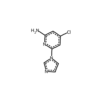 Nc1cc(Cl)cc(-n2ccnc2)n1